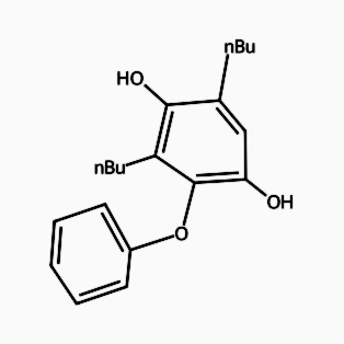 CCCCc1cc(O)c(Oc2ccccc2)c(CCCC)c1O